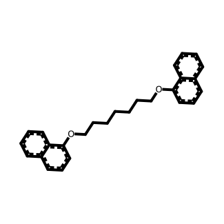 c1ccc2c(OCCCCCCCOc3cccc4ccccc34)cccc2c1